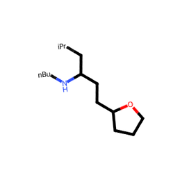 CCCCNC(CCC1CCCO1)CC(C)C